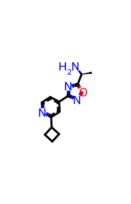 C[C@H](N)c1nc(-c2ccnc(C3CCC3)c2)no1